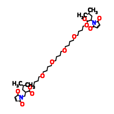 CC(C)CC(CN1C(=O)C=CC1=O)C(=O)OCCCCOCCCCOCCCCOCCCCOCCCCOC(=O)C(CC(C)C)N1C(=O)C=CC1=O